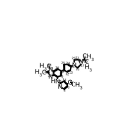 COc1ccnc(Nc2cc(-c3ccc(N4CCN(C(C)C)CC4)cc3)cc3c2nc(C)n3C)c1